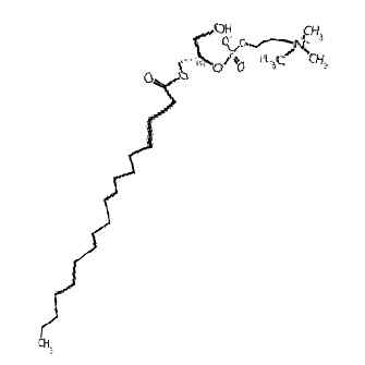 CCCCCCCCCCCCCCCCCC(=O)OC[C@H](CO)OP(=O)([O-])OCC[N+](C)(C)C